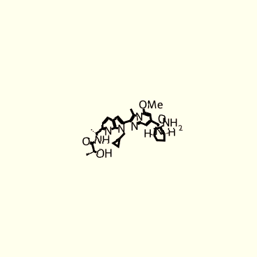 COc1cc(C(=O)N2[C@H]3CC[C@@H]2[C@H](N)C3)cc2nc(-c3cc4ccc([C@@H](C)NC(=O)[C@H](C)O)nc4n3CC3CC3)c(C)n12